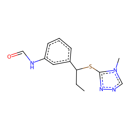 CCC(Sc1nncn1C)c1cccc(NC=O)c1